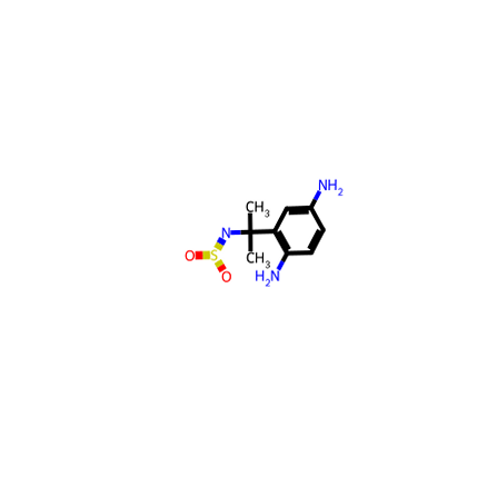 CC(C)(N=S(=O)=O)c1cc(N)ccc1N